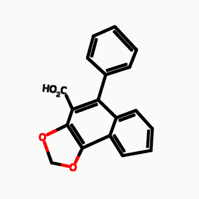 O=C(O)c1c2c(c3ccccc3c1-c1ccccc1)OCO2